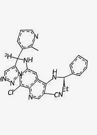 [2H]C(Nc1cc(Cl)c2ncc(C#N)c(N[C@H](CC)c3ccccc3)c2c1)(c1c[nH]nn1)c1cccnc1C